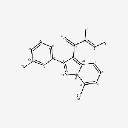 CC=C(C)C(=O)c1c(-c2cccc(C)c2)nn2c(Cl)cccc12